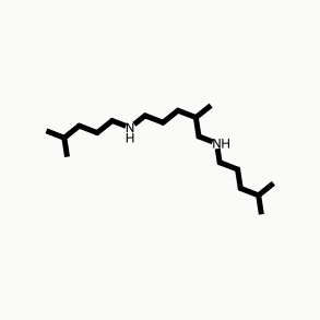 CC(C)CCCNCCCC(C)CNCCCC(C)C